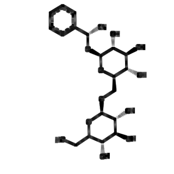 N#C[C@H](O[C@@H]1O[C@H](CO[C@@H]2OC(CO)[C@@H](O)[C@H](O)[C@H]2O)[C@@H](O)[C@H](O)[C@H]1O)c1ccccc1